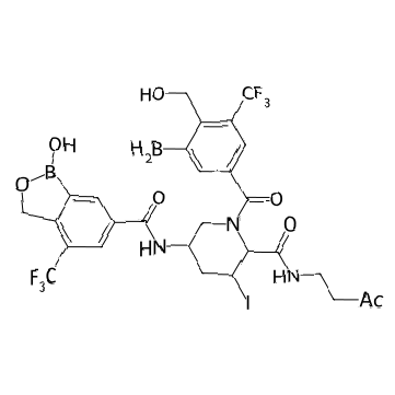 Bc1cc(C(=O)N2CC(NC(=O)c3cc4c(c(C(F)(F)F)c3)COB4O)CC(I)C2C(=O)NCCC(C)=O)cc(C(F)(F)F)c1CO